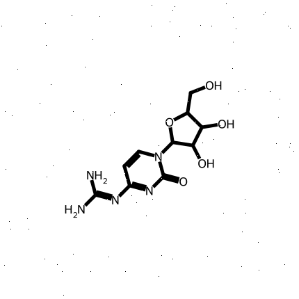 NC(N)=Nc1ccn(C2OC(CO)C(O)C2O)c(=O)n1